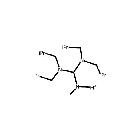 CC(C)CN(CC(C)C)C([N](C)[Hf])N(CC(C)C)CC(C)C